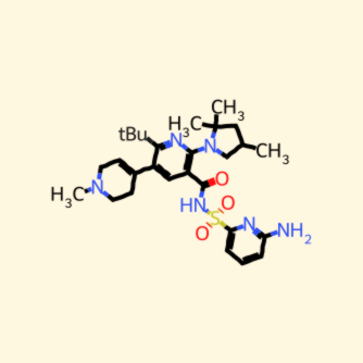 CC1CN(c2nc(C(C)(C)C)c(C3=CCN(C)CC3)cc2C(=O)NS(=O)(=O)c2cccc(N)n2)C(C)(C)C1